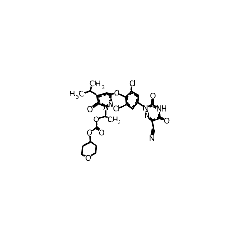 CC(C)c1cc(Oc2c(Cl)cc(-n3nc(C#N)c(=O)[nH]c3=O)cc2Cl)nn(C(C)OC(=O)OC2CCOCC2)c1=O